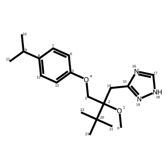 COC(COc1ccc(C(C)C)cc1)(Cc1nc[nH]n1)C(C)(C)C